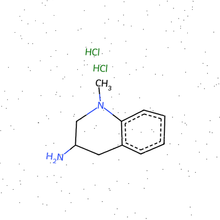 CN1CC(N)Cc2ccccc21.Cl.Cl